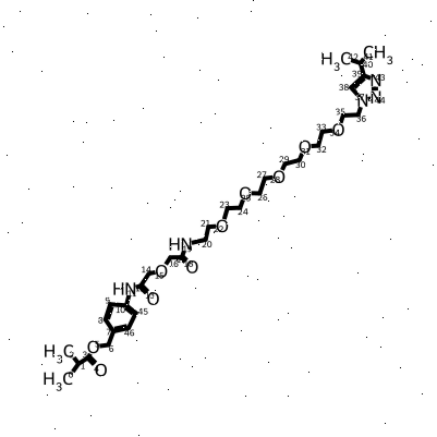 CC(C)C(=O)OCc1ccc(NC(=O)COCC(=O)NCCOCCOCCOCCOCCOCCn2cc(C(C)C)nn2)cc1